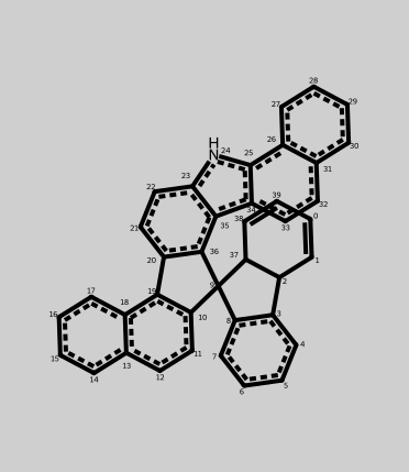 C1=CC2c3ccccc3C3(c4ccc5ccccc5c4-c4ccc5[nH]c6c7ccccc7ccc6c5c43)C2C=C1